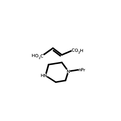 CCCN1CCNCC1.O=C(O)/C=C/C(=O)O